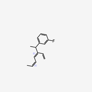 C=C/C(=C\C=C/C)C(C)c1cccc(F)c1